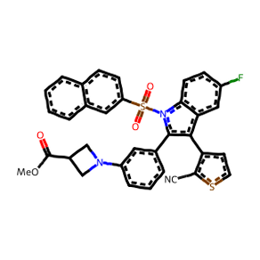 COC(=O)C1CN(c2cccc(-c3c(-c4ccsc4C#N)c4cc(F)ccc4n3S(=O)(=O)c3ccc4ccccc4c3)c2)C1